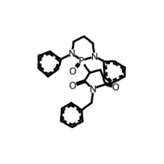 O=C1CC(P2(=O)N(c3ccccc3)CCCN2c2ccccc2)C(=O)N1Cc1ccccc1